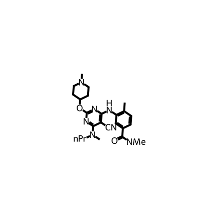 CCCN(C)c1nc(OC2CCN(C)CC2)nc(Nc2cc(C(=O)NC)ccc2C)c1C#N